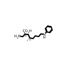 C[C@@H](CCCCNc1ccccc1)C[C@H](CN)C(=O)O